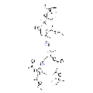 CCOC(C)OC(C)(/C=C/C=C(\C)C1C/C=C/C(OC(C)=O)C(C)(OC(C)OCC)CCC(O[Si](CC)(CC)CC)CC(=O)O1)CC1OC1C(C)(C)C(CC)O[Si](CC)(CC)CC